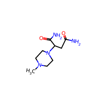 CN1CCN(C(CC(N)=O)C(N)=O)CC1